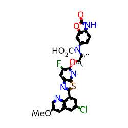 COc1cnc2c(-c3nc4cc(F)c(O[C@@H](C)[C@@H](C)N(C(=O)O)c5ccc6[nH]c(=O)oc6c5)nc4s3)cc(Cl)cc2c1